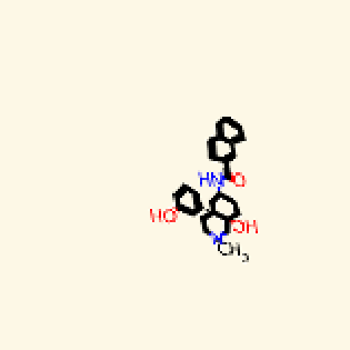 CN1CC[C@@]2(c3cccc(O)c3)C[C@@H](NC(=O)c3ccc4ccccc4c3)CC[C@]2(O)C1